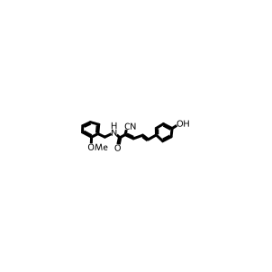 COc1ccccc1CNC(=O)/C(C#N)=C/C=C/c1ccc(O)cc1